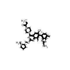 C=CC(=O)N1CCN(c2nc(OC[C@@H]3CCCN3C)nc3c(F)c(-c4ccc(F)c5sc(N)nc45)c(C(F)(F)F)cc23)CC1